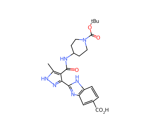 Cc1[nH]nc(-c2nc3cc(C(=O)O)ccc3[nH]2)c1C(=O)NC1CCN(C(=O)OC(C)(C)C)CC1